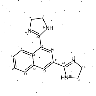 c1ccc2c(C3=NCCN3)cc(C3=NCCN3)cc2c1